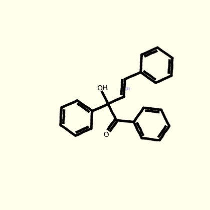 O=C(c1ccccc1)C(O)(/C=C/c1ccccc1)c1ccccc1